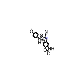 COc1ccc(NS(=O)(=O)/C(C#N)=C\c2ccc3oc(=O)[nH]c3c2)cc1